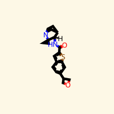 O=C(N[C@H]1C2CCN(CC2)C12CC2)c1cc2ccc(C3COC3)cc2s1